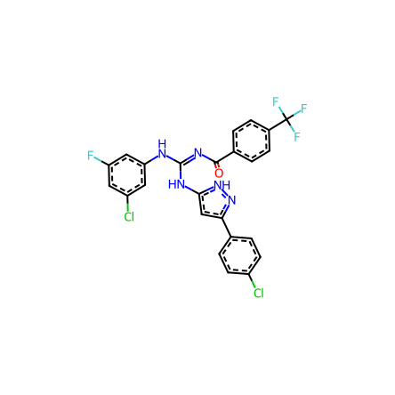 O=C(/N=C(/Nc1cc(F)cc(Cl)c1)Nc1cc(-c2ccc(Cl)cc2)n[nH]1)c1ccc(C(F)(F)F)cc1